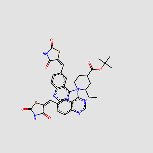 CCC1CC(C(=O)OC(C)(C)C)CC[N+]1(c1ncnc2ccc(C=C3SC(=O)NC3=O)cc12)c1ncnc2ccc(C=C3SC(=O)NC3=O)cc12